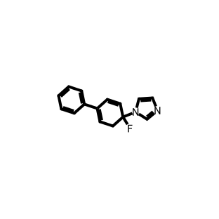 FC1(n2ccnc2)C=CC(c2ccccc2)=CC1